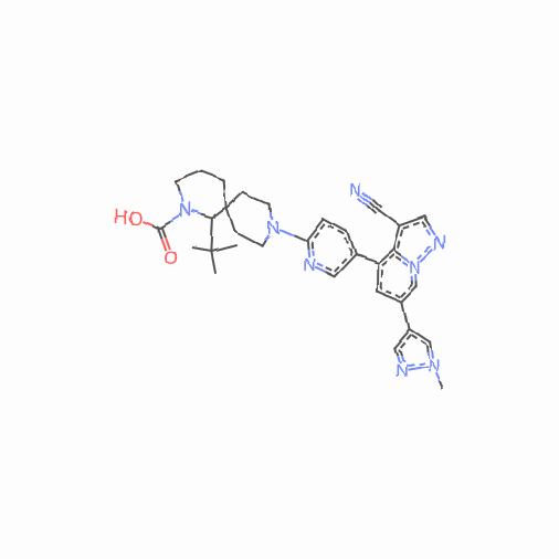 Cn1cc(-c2cc(-c3ccc(N4CCC5(CCCN(C(=O)O)C5C(C)(C)C)CC4)nc3)c3c(C#N)cnn3c2)cn1